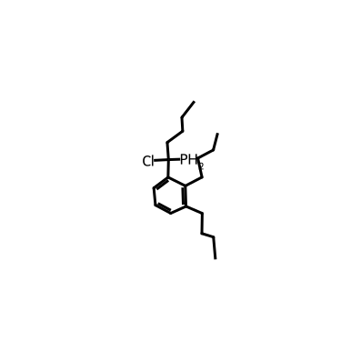 CCCCc1cccc(C(P)(Cl)CCCC)c1CCCC